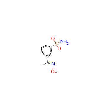 CON=C(C)c1cccc(S(N)(=O)=O)c1